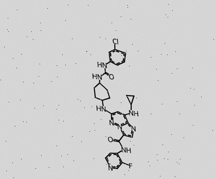 O=C(Nc1cccc(Cl)c1)NC1CCC(Nc2cc(NC3CC3)c3ncc(C(=O)Nc4ccncc4F)n3n2)CC1